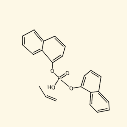 C=CC.O=P(O)(Oc1cccc2ccccc12)Oc1cccc2ccccc12